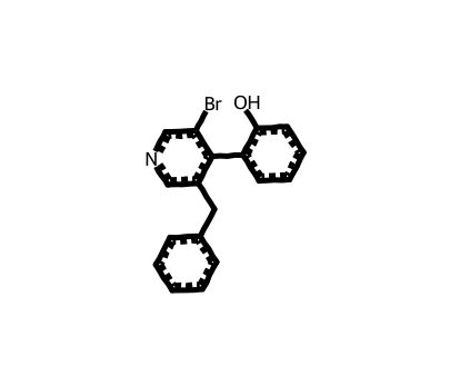 Oc1ccccc1-c1c(Br)cncc1Cc1ccccc1